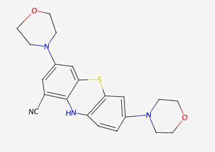 N#Cc1cc(N2CCOCC2)cc2c1Nc1ccc(N3CCOCC3)cc1S2